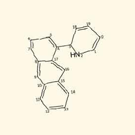 C1=CNC(c2cccc3cc4ccccc4cc23)C=C1